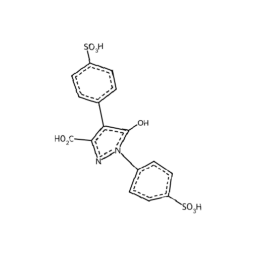 O=C(O)c1nn(-c2ccc(S(=O)(=O)O)cc2)c(O)c1-c1ccc(S(=O)(=O)O)cc1